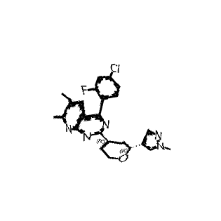 Cc1cc2c(-c3ccc(Cl)cc3F)nc([C@@H]3CCO[C@@H](c4cnn(C)c4)C3)nc2nc1C